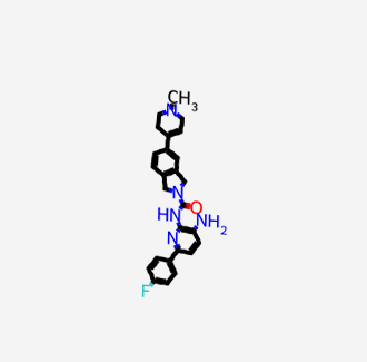 CN1CC=C(c2ccc3c(c2)CN(C(=O)Nc2nc(-c4ccc(F)cc4)ccc2N)C3)CC1